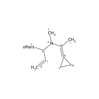 C=CC(CCCCC)N(C)C(C)=C1CC1